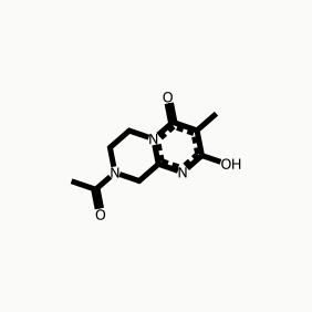 CC(=O)N1CCn2c(nc(O)c(C)c2=O)C1